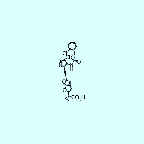 O=C(Nc1c(C#Cc2cc3cc(C4(C(=O)O)CC4)oc3o2)nsc1Cl)OCc1ccccc1Cl